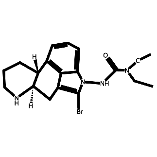 CCN(CC)C(=O)Nn1c(Br)c2c3c(cccc31)[C@H]1CCCN[C@@H]1C2